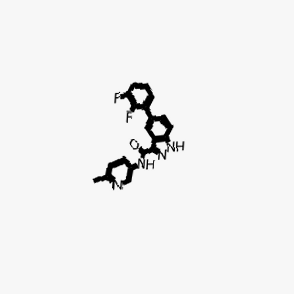 Cc1ccc(NC(=O)c2n[nH]c3ccc(-c4cccc(F)c4F)cc23)cn1